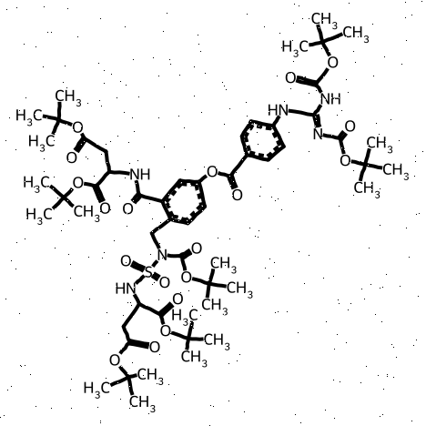 CC(C)(C)OC(=O)CC(NC(=O)c1cc(OC(=O)c2ccc(NC(=NC(=O)OC(C)(C)C)NC(=O)OC(C)(C)C)cc2)ccc1CN(C(=O)OC(C)(C)C)S(=O)(=O)NC(CC(=O)OC(C)(C)C)C(=O)OC(C)(C)C)C(=O)OC(C)(C)C